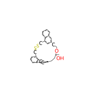 CC1(O)CCc2ccc3c(cccc3c2)CSSCc2cc(cc3ccccc23)CCO1